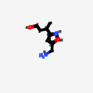 CC(CC=O)c1cc(CN)on1